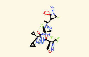 CC(c1cc(F)c[nH]c1=O)n1ncc(NC(=O)C(NC(=O)c2conc2C(F)(F)F)C(C2CC2)C2CC2)c1F